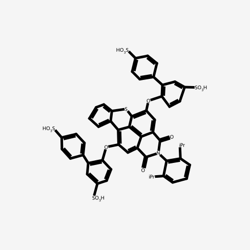 CC(C)c1cccc(C(C)C)c1-n1c(=O)c2cc(Oc3ccc(S(=O)(=O)O)cc3-c3ccc(S(=O)(=O)O)cc3)c3sc4ccccc4c4c(Oc5ccc(S(=O)(=O)O)cc5-c5ccc(S(=O)(=O)O)cc5)cc(c1=O)c2c34